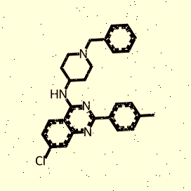 Cc1ccc(-c2nc(NC3CCN(Cc4ccccc4)CC3)c3ccc(Cl)cc3n2)cc1